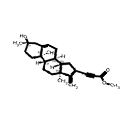 C=C1C(C#CC(=O)OC)C[C@H]2[C@@H]3CC=C4C[C@@](C)(O)CC[C@]4(C)[C@H]3CC[C@]12C